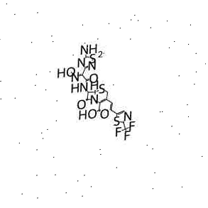 Nc1nc(C(=NO)C(=O)NC2C(=O)N3C(C(=O)O)=C(C=Cc4cnc(C(F)(F)F)s4)CS[C@@H]23)ns1